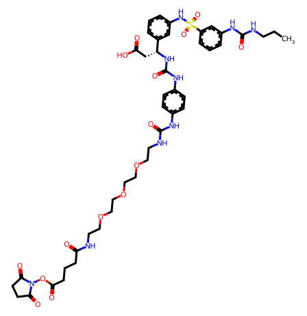 CCCNC(=O)Nc1cccc(S(=O)(=O)Nc2cccc([C@@H](CC(=O)O)NC(=O)Nc3ccc(NC(=O)NCCOCCOCCOCCNC(=O)CCCC(=O)ON4C(=O)CCC4=O)cc3)c2)c1